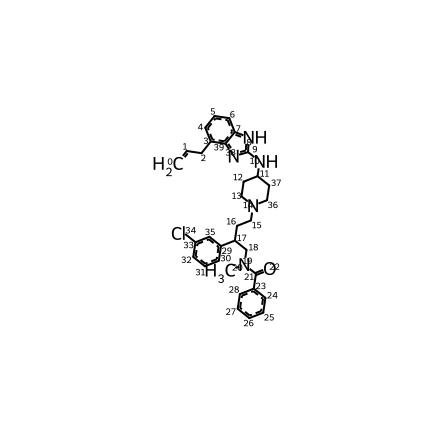 C=CCc1cccc2[nH]c(NC3CCN(CCC(CN(C)C(=O)c4ccccc4)c4cccc(Cl)c4)CC3)nc12